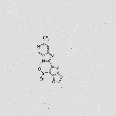 CC[S+]([O-])c1c(-c2nc3cc(C(F)(F)F)ncc3n2C)sc2ccoc12